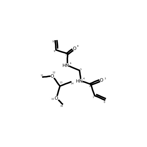 C=CC(=O)NCNC(=O)C=C.COC(C)OC